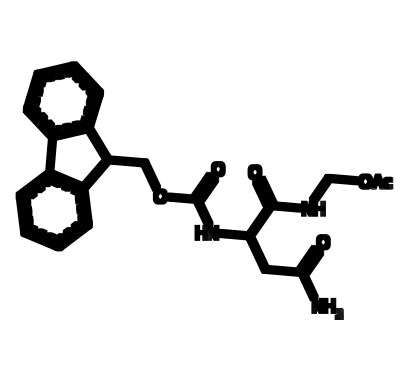 CC(=O)OCNC(=O)C(CC(N)=O)NC(=O)OCC1c2ccccc2-c2ccccc21